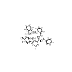 CC(C)C[C@H](NCP(OCc1ccccc1)OCc1ccccc1)C(=O)N[C@@H](Cc1c[nH]c2ccccc12)C(=O)O